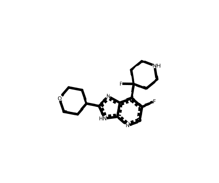 Fc1cnc2[nH]c(C3CCOCC3)nc2c1C1(F)CCNCC1